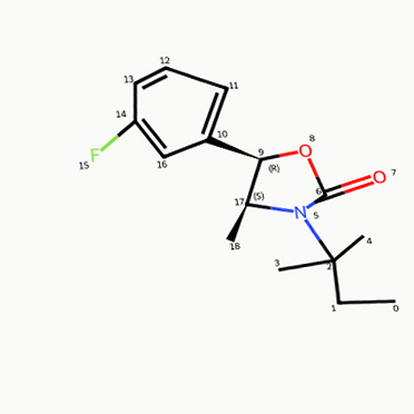 CCC(C)(C)N1C(=O)O[C@H](c2cccc(F)c2)[C@@H]1C